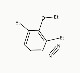 CCOc1c(CC)cccc1CC.N#N